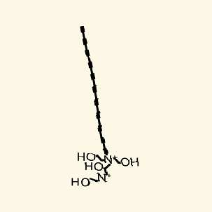 C#CC#CC#CC#CC#CC#CC#CC#CC#CC#CC#C[N+](CCO)(CCO)CC(O)C[N+](C)(C)CCO